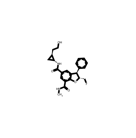 CNC(=O)c1cc(C(=O)N[C@@H]2C[C@H]2CCO)cc2c1O[C@@H](CF)[C@@H]2c1ccccc1